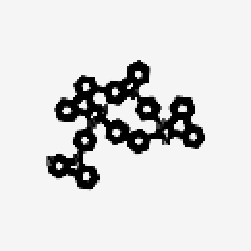 c1ccc(-c2nc3c4ccccc4c4ccccc4c3n2-c2ccc(-n3c4ccccc4c4cc(-c5cccc6c7ccccc7c7c(nc(-c8ccccc8)n7-c7ccc(-n8c9ccccc9c9ccncc98)cc7)c56)ccc43)cc2)cc1